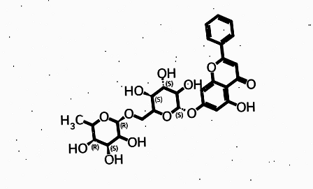 CC1O[C@@H](OCC2O[C@@H](Oc3cc(O)c4c(=O)cc(-c5ccccc5)oc4c3)C(O)[C@@H](O)[C@@H]2O)C(O)[C@@H](O)[C@H]1O